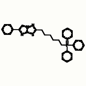 c1ccc(-c2cn3nc(CCCCCC[PH](c4ccccc4)(c4ccccc4)c4ccccc4)sc3n2)cc1